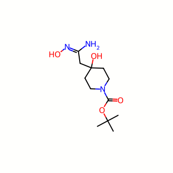 CC(C)(C)OC(=O)N1CCC(O)(C/C(N)=N\O)CC1